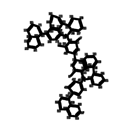 Cc1cc(-c2cc(C)c(N(c3ccc(-c4cccc5ccccc45)cc3)c3ccccc3-c3ccccc3)c(C)c2)cc(C)c1N(c1ccc(-c2cccc3ccccc23)cc1)c1ccccc1-c1ccccc1